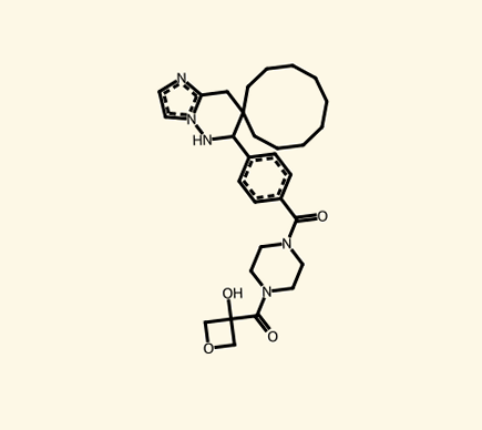 O=C(c1ccc(C2Nn3ccnc3CC23CCCCCCCCC3)cc1)N1CCN(C(=O)C2(O)COC2)CC1